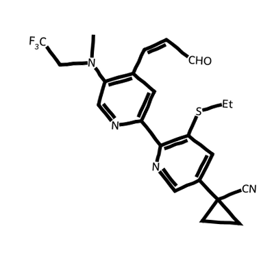 CCSc1cc(C2(C#N)CC2)cnc1-c1cc(/C=C\C=O)c(N(C)CC(F)(F)F)cn1